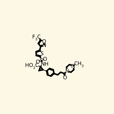 CN1CCN(C(=O)CCc2ccc([C@H]3C[C@@]3(NS(=O)(=O)c3ccc(-c4cc(C(F)(F)F)on4)s3)C(=O)O)cc2)CC1